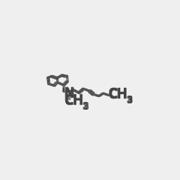 CCCCC#CC=CCN(C)Cc1cccc2ccccc12